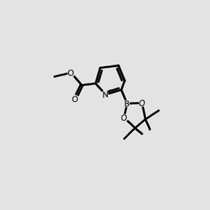 COC(=O)c1cccc(B2OC(C)(C)C(C)(C)O2)n1